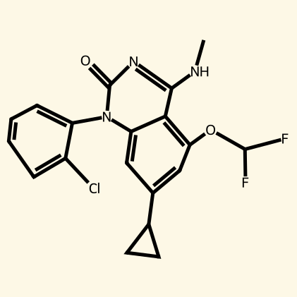 CNc1nc(=O)n(-c2ccccc2Cl)c2cc(C3CC3)cc(OC(F)F)c12